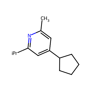 Cc1cc(C2CCCC2)cc(C(C)C)n1